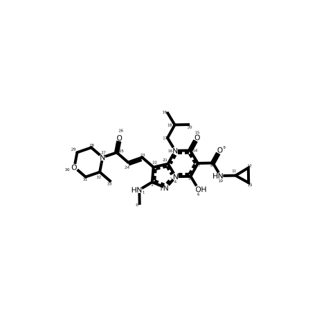 CNc1nn2c(O)c(C(=O)NC3CC3)c(=O)n(CC(C)C)c2c1C=CC(=O)N1CCOCC1C